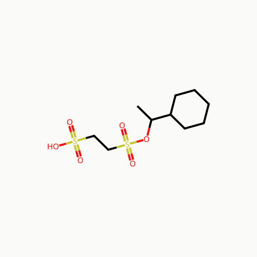 CC(OS(=O)(=O)CCS(=O)(=O)O)C1CCCCC1